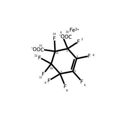 O=C([O-])C1(F)C(F)=C(F)C(F)(F)C(F)(F)C1(F)C(=O)[O-].[Fe+2]